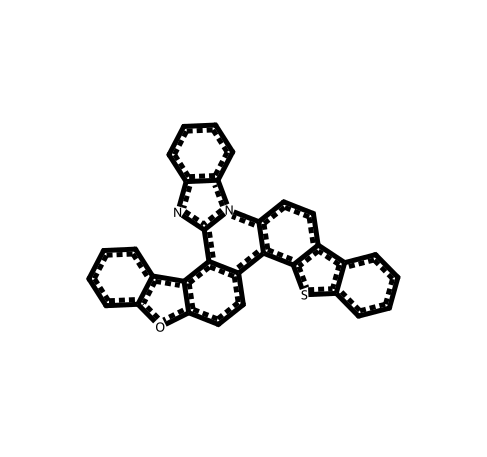 c1ccc2c(c1)nc1c3c(ccc4oc5ccccc5c43)c3c4sc5ccccc5c4ccc3n21